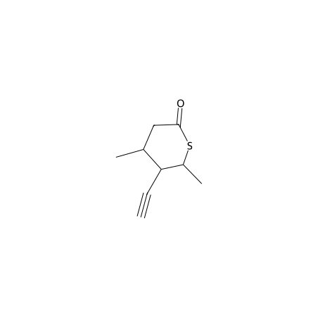 C#CC1C(C)CC(=O)SC1C